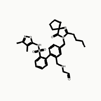 CCCCC1=NC2(CCCC2)C(=O)N1Cc1ccc(-c2ccccc2S(=O)(=O)Nc2onc(C)c2C)c(CNCC=O)c1